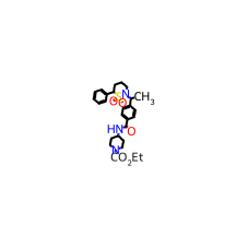 CCOC(=O)N1CCC(NC(=O)c2ccc(C(C)N3CCCC(c4ccccc4)S3(=O)=O)cc2)CC1